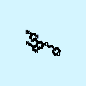 N#Cc1cnn2cc(OCCN3CCOCC3)cc(-c3ncc(Br)cn3)c12